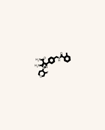 Cc1ccccc1C(=O)NCc1ccc(-c2nn(C3CCOCC3F)c(N)c2C(N)=O)cc1